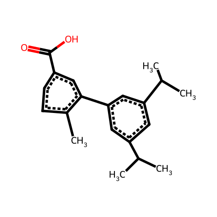 Cc1ccc(C(=O)O)cc1-c1cc(C(C)C)cc(C(C)C)c1